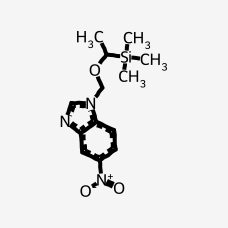 CC(OCn1cnc2cc([N+](=O)[O-])ccc21)[Si](C)(C)C